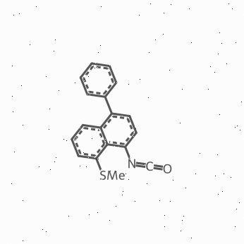 CSc1cccc2c(-c3ccccc3)ccc(N=C=O)c12